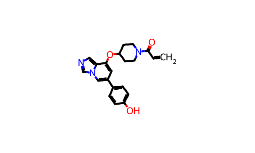 C=CC(=O)N1CCC(Oc2cc(-c3ccc(O)cc3)cn3cncc23)CC1